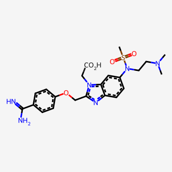 CN(C)CCN(c1ccc2nc(COc3ccc(C(=N)N)cc3)n(CC(=O)O)c2c1)S(C)(=O)=O